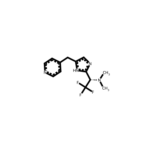 CN(C)[C@@H](c1ncc(Cc2ccncc2)[nH]1)C(F)(F)F